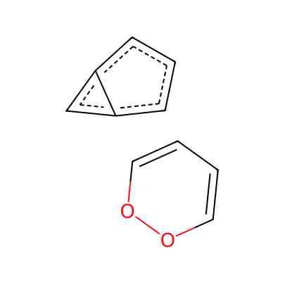 C1=COOC=C1.c1cc2cc-2c1